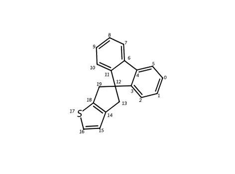 c1ccc2c(c1)-c1ccccc1C21Cc2ccsc2C1